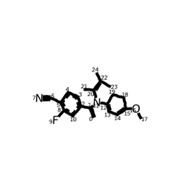 C=C(c1ccc(C#N)c(F)c1)N(C1=CC=C(OC)CC1)C(C)=C(C)C